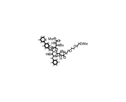 COCCOCCOCCOC(=O)NC(C(=O)NC(Cc1ccccc1)C(O)CN(Cc1ccc(-c2ccccn2)cc1)NC(=O)C(NC(=O)OC)C(C)(C)C)C(C)(C)C